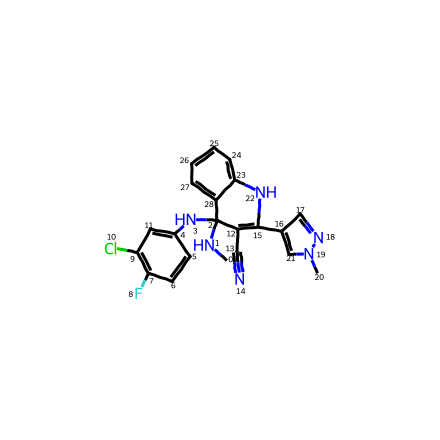 CNC1(Nc2ccc(F)c(Cl)c2)C(C#N)=C(c2cnn(C)c2)Nc2ccccc21